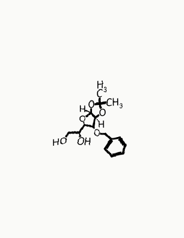 CC1(C)O[C@H]2O[C@H]([C@@H](O)CO)[C@H](OCc3ccccc3)[C@@H]2O1